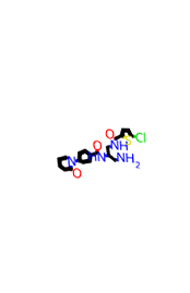 NCC(CNC(=O)c1ccc(Cl)s1)NC(=O)c1ccc(-n2ccccc2=O)cc1